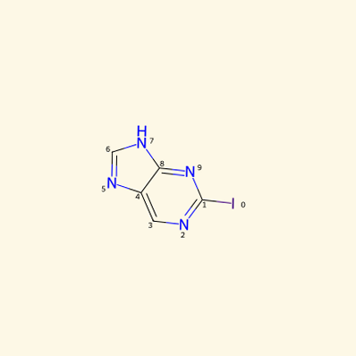 Ic1ncc2nc[nH]c2n1